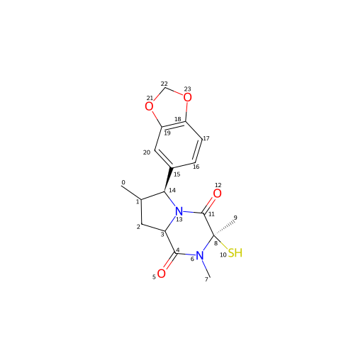 CC1CC2C(=O)N(C)[C@](C)(S)C(=O)N2[C@@H]1c1ccc2c(c1)OCO2